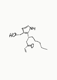 C=CC(=O)CC(CCCCC)c1[nH]ccc1CO